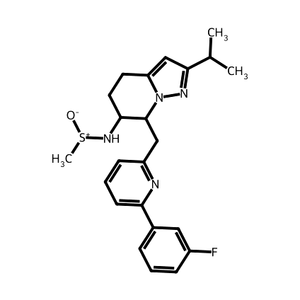 CC(C)c1cc2n(n1)C(Cc1cccc(-c3cccc(F)c3)n1)C(N[S+](C)[O-])CC2